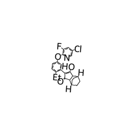 CCc1ccc(Oc2ncc(Cl)cc2F)cc1C1=C(O)C2C(C1=O)[C@H]1CC[C@@H]2CC1